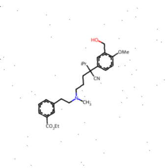 CCOC(=O)c1cccc(CCN(C)CCCC(C#N)(c2ccc(OC)c(CO)c2)C(C)C)c1